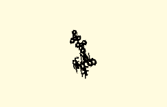 FC(F)(F)c1cc(-c2nc(-c3ccc(-n4c5ccccc5c5c(-c6cccc7c6c6ccccc6n7-c6ccccc6)cccc54)cc3)nc3c2ccc2ccccc23)cc(C(F)(F)F)c1